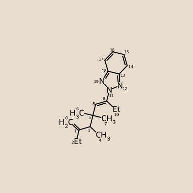 C=C(CC)C(C)C(C)(C)/C=C(\CC)n1nc2ccccc2n1